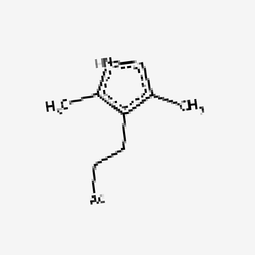 CC(=O)CCc1c(C)c[nH]c1C